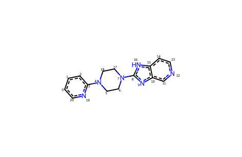 c1ccc(N2CCN(c3nc4cnccc4[nH]3)CC2)nc1